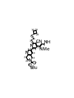 CN/C(=C\C=N)c1cc(-c2cnc3c(c2)CN(C(=O)OC(C)(C)C)CC3)nc(SCSC2CCC2)c1C#N